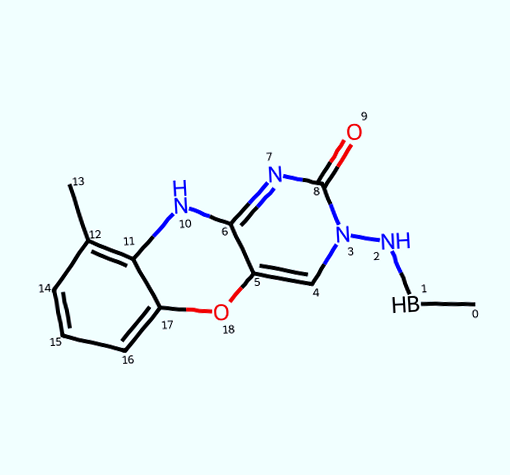 CBNn1cc2c(nc1=O)Nc1c(C)cccc1O2